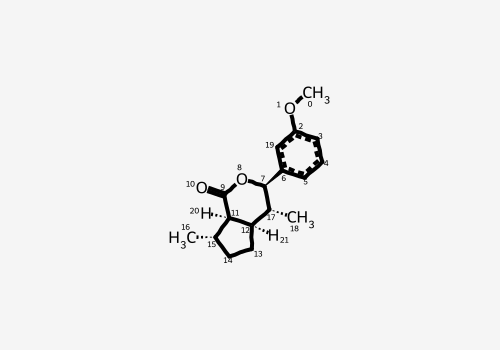 COc1cccc([C@@H]2OC(=O)[C@H]3[C@H](CC[C@@H]3C)[C@H]2C)c1